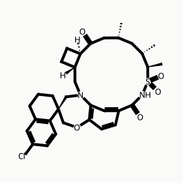 C[C@H]1CC(=O)[C@@H]2CC[C@H]2CN2C[C@@]3(CCCc4cc(Cl)ccc43)COc3ccc(cc32)C(=O)NS(=O)(=O)[C@H](C)[C@@H](C)C1